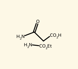 CCOC(N)=O.NC(=O)CC(=O)O